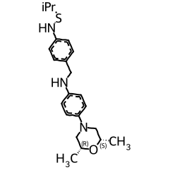 CC(C)SNc1ccc(CNc2ccc(N3C[C@@H](C)O[C@@H](C)C3)cc2)cc1